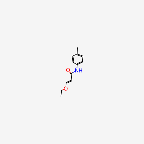 CCOC=CC(=O)Nc1ccc(C)cc1